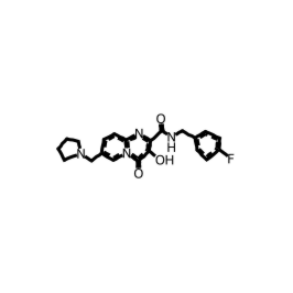 O=C(NCc1ccc(F)cc1)c1nc2ccc(CN3CCCC3)cn2c(=O)c1O